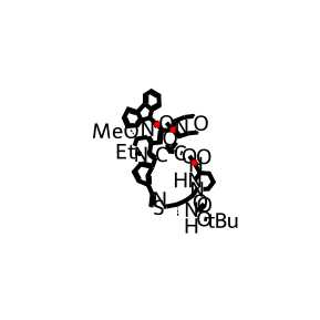 CCn1c(-c2cc(C3=CC4COCC(C3)N4C(=O)OCC3c4ccccc4-c4ccccc43)cnc2[C@H](C)OC)c2c3cc(ccc31)-c1csc(n1)[C@@H](C)[C@H](NC(=O)OC(C)(C)C)C(=O)N1CCC[C@H](N1)C(=O)OCC(C)(C)C2